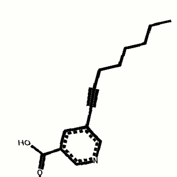 CCCCCCC#Cc1cncc(C(=O)O)c1